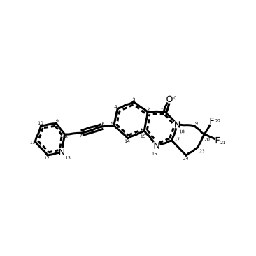 O=c1c2ccc(C#Cc3ccccn3)cc2nc2n1CC(F)(F)CC2